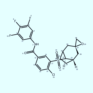 O=C(Nc1cc(F)c(F)c(F)c1)c1ccc(Cl)c(S(=O)(=O)[C@H]2C3CC[C@H]2C[C@]2(CO2)C3)c1